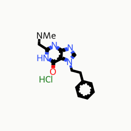 CNCc1nc2ncn(CCc3ccccc3)c2c(=O)[nH]1.Cl